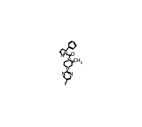 C[C@@H]1CN(c2ncc(F)cn2)CCN1C(=O)N1N=CCC1c1ccccc1